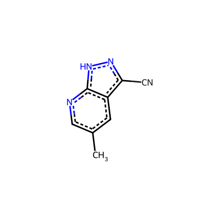 Cc1cnc2[nH]nc(C#N)c2c1